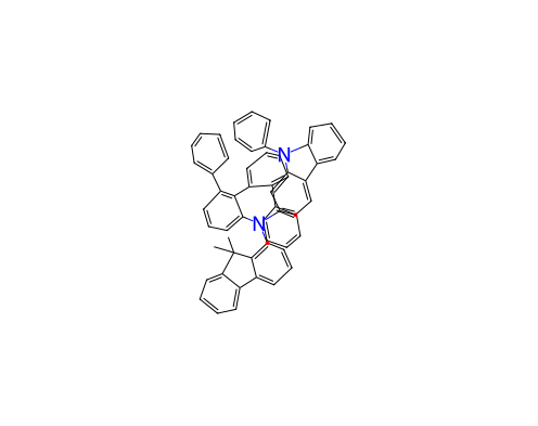 CC1(C)c2ccccc2-c2cccc(N(c3ccc4c5ccccc5n(-c5ccccc5)c4c3)c3cccc(-c4ccccc4)c3-c3ccccc3-c3ccccc3)c21